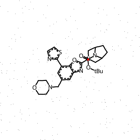 CC(C)(C)OC(=O)N1C2CCC1CN(c1nc3cc(CN4CCOCC4)cc(-c4nccs4)c3o1)C2